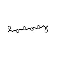 CC(=O)CCOCCOCCOCCOCCC(C)=O